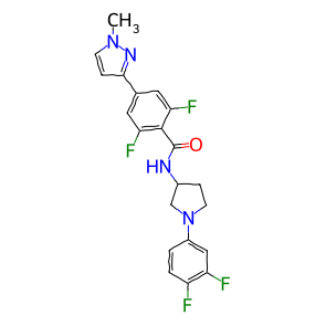 Cn1ccc(-c2cc(F)c(C(=O)NC3CCN(c4ccc(F)c(F)c4)C3)c(F)c2)n1